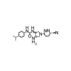 CC(C)c1ccc(NC(=O)N[C@H]2CN(c3ccc(C#N)nn3)C[C@@H]2N)cc1